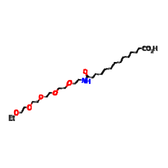 CCOCCOCCOCCOCCOCCNC(=O)CCCCCCCCCCCCC(=O)O